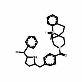 O=C(c1ccc(CC2CCC(C(O)c3ccccc3)N2)cc1)N1CCC2(CCc3ccccc3S2(=O)=O)CC1